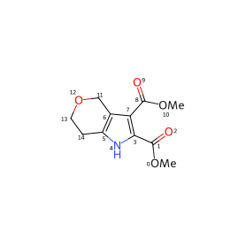 COC(=O)c1[nH]c2c(c1C(=O)OC)COCC2